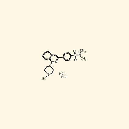 CCN1CCN(c2nc(-c3ccc(S(=O)(=O)N(C)C)cc3)cc3ccccc23)CC1.Cl.Cl